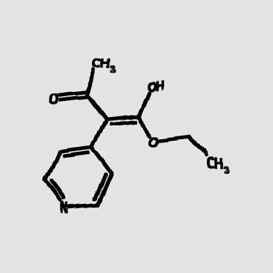 CCOC(O)=C(C(C)=O)c1ccncc1